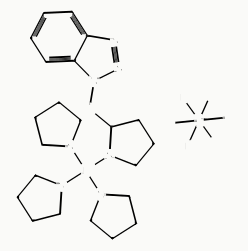 F[P-](F)(F)(F)(F)F.c1ccc2c(c1)nnn2OC1CCCN1[P+](N1CCCC1)(N1CCCC1)N1CCCC1